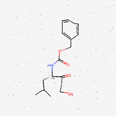 CC(C)C[C@H](NC(=O)OCc1ccccc1)C(=O)CO